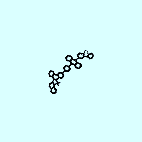 CC1(C)c2c(ccc3ccccc23)-c2c1c1ccc(-c3ccc(-c4c5ccccc5c(-c5ccc6oc7ccccc7c6c5)c5ccccc45)cc3)cc1c1ccccc21